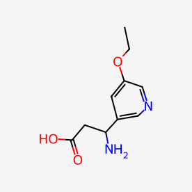 CCOc1cncc(C(N)CC(=O)O)c1